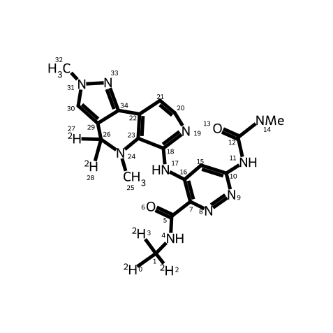 [2H]C([2H])([2H])NC(=O)c1nnc(NC(=O)NC)cc1Nc1nccc2c1N(C)C([2H])([2H])c1cn(C)nc1-2